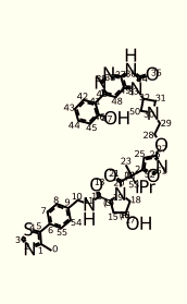 Cc1ncsc1-c1ccc(CNC(=O)[C@@H]2C[C@@H](O)CN2C(=O)[C@](C)(c2cc(OCCN3CC(n4c(=O)[nH]c5nnc(-c6ccccc6O)cc54)C3)no2)C(C)C)cc1